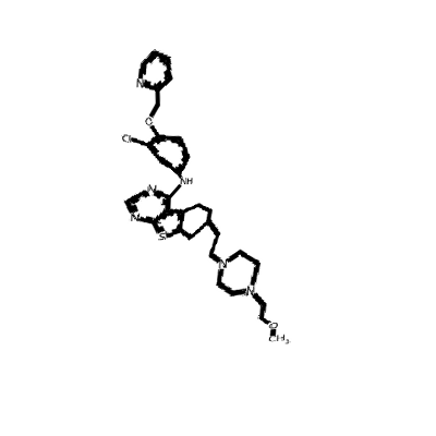 COCCN1CCN(CCC2CCc3c(sc4ncnc(Nc5ccc(OCc6ccccn6)c(Cl)c5)c34)C2)CC1